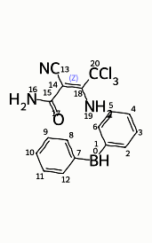 B(c1ccccc1)c1ccccc1.N#C/C(C(N)=O)=C(/N)C(Cl)(Cl)Cl